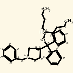 CCCC[SiH](CCCC)OC(C1=CCN(Cc2ccccc2)CC1)(c1ccccc1)c1ccccc1